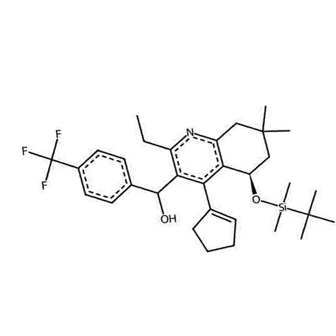 CCc1nc2c(c(C3=CCCC3)c1C(O)c1ccc(C(F)(F)F)cc1)[C@H](O[Si](C)(C)C(C)(C)C)CC(C)(C)C2